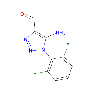 Nc1c(C=O)nnn1-c1c(F)cccc1F